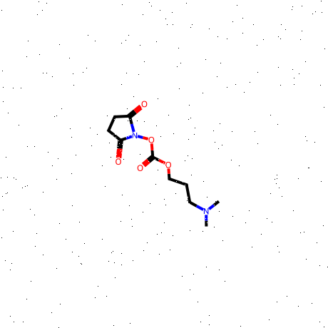 CN(C)CCCOC(=O)ON1C(=O)CCC1=O